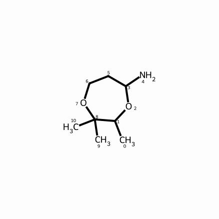 CC1OC(N)CCOC1(C)C